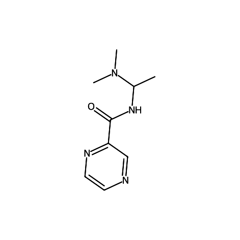 CC(NC(=O)c1cnccn1)N(C)C